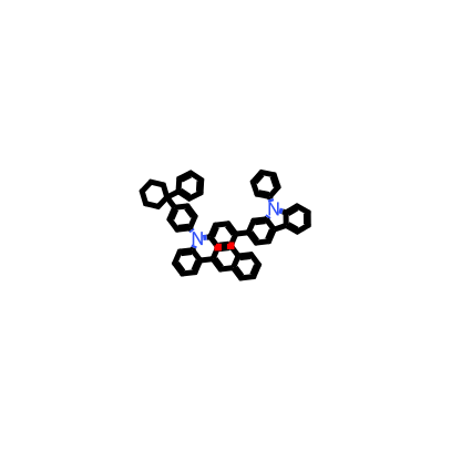 c1ccc(-n2c3ccccc3c3ccc(-c4ccc(N(c5ccc(C6(c7ccccc7)CCCCC6)cc5)c5ccccc5-c5ccc6ccccc6c5)cc4)cc32)cc1